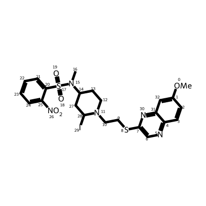 COc1ccc2ncc(SCCN3CCC(N(C)S(=O)(=O)c4ccccc4[N+](=O)[O-])CC3I)nc2c1